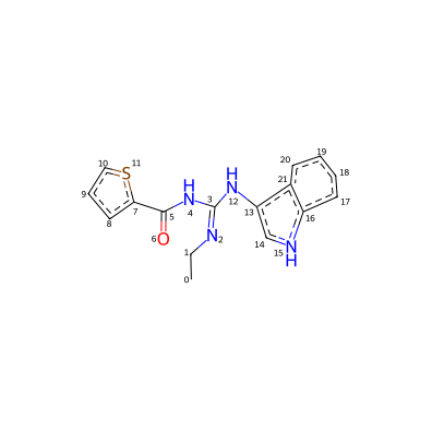 CCN=C(NC(=O)c1cccs1)Nc1c[nH]c2ccccc12